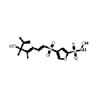 C=C(C)C(C)(O)/C(C)=C/C=C/S(=O)(=O)c1coc(S(=O)(=O)NO)c1